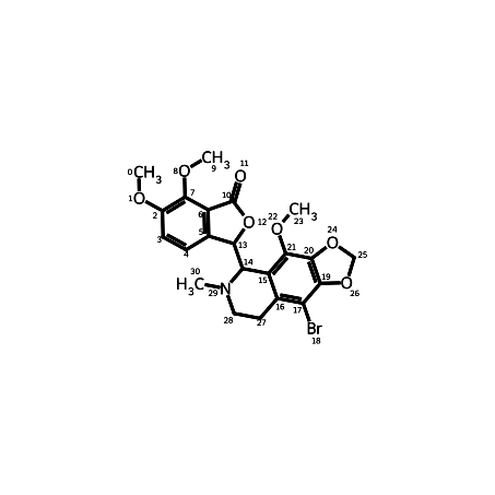 COc1ccc2c(c1OC)C(=O)OC2C1c2c(c(Br)c3c(c2OC)OCO3)CCN1C